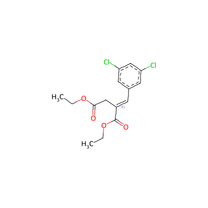 CCOC(=O)C/C(=C\c1cc(Cl)cc(Cl)c1)C(=O)OCC